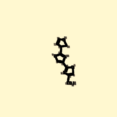 O=C(O)c1coc(-c2coc(C3C=COC3)n2)n1